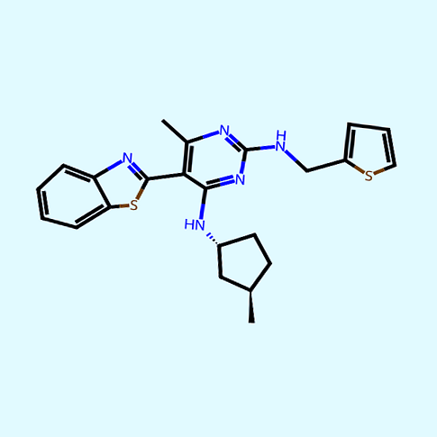 Cc1nc(NCc2cccs2)nc(N[C@@H]2CC[C@@H](C)C2)c1-c1nc2ccccc2s1